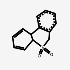 O=S1(=O)Cc2ccccc2C2C=CC=CC21